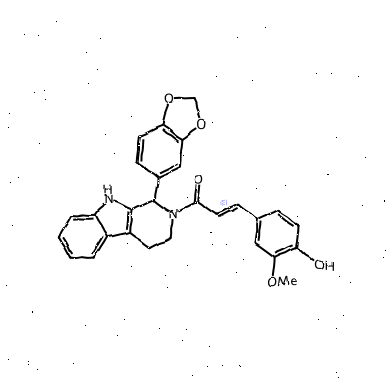 COc1cc(/C=C/C(=O)N2CCc3c([nH]c4ccccc34)C2c2ccc3c(c2)OCO3)ccc1O